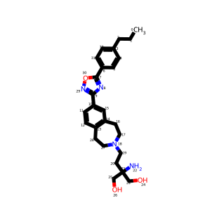 CCCc1ccc(-c2nc(-c3ccc4c(c3)CCN(CCC(N)(CO)CO)CC4)no2)cc1